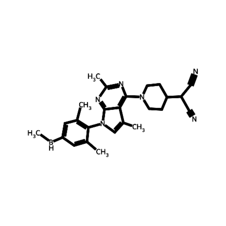 CBc1cc(C)c(-n2cc(C)c3c(N4CCC(C(C#N)C#N)CC4)nc(C)nc32)c(C)c1